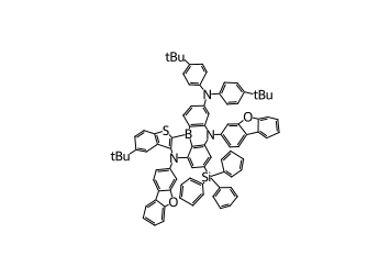 CC(C)(C)c1ccc(N(c2ccc(C(C)(C)C)cc2)c2ccc3c(c2)N(c2ccc4c(c2)oc2ccccc24)c2cc([Si](c4ccccc4)(c4ccccc4)c4ccccc4)cc4c2B3c2sc3ccc(C(C)(C)C)cc3c2N4c2ccc3c(c2)oc2ccccc23)cc1